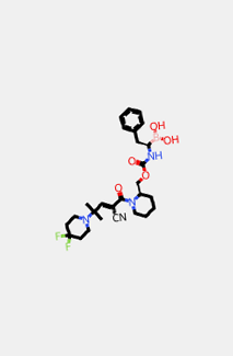 CC(C)(/C=C(\C#N)C(=O)N1CCCC[C@@H]1COC(=O)N[C@@H](Cc1ccccc1)B(O)O)N1CCC(F)(F)CC1